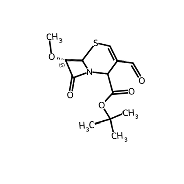 CO[C@H]1C(=O)N2C(C(=O)OC(C)(C)C)C(C=O)=CSC12